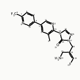 Cc1cc(-c2ccc(C(F)(F)F)nc2)cnc1-n1cnn(C/C(=C/F)CN)c1=O